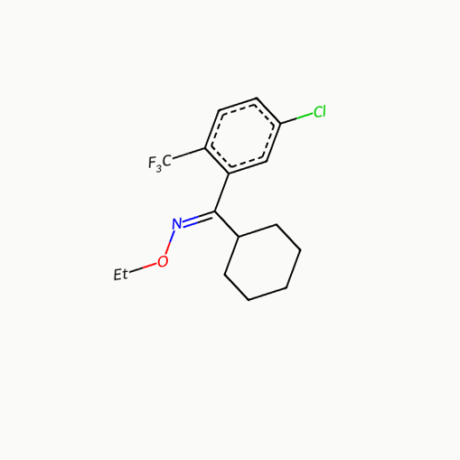 CCO/N=C(/c1cc(Cl)ccc1C(F)(F)F)C1CCCCC1